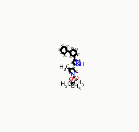 C[C@@H]1CN(C(=O)OC(C)(C)C)C[C@H]1c1cc(-c2cccc(-c3ccccc3)c2)n[nH]1